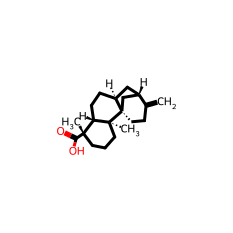 C=C1CC[C@@]23C[C@@H]1C[C@@H]2CC[C@@H]1[C@]3(C)CCC[C@]1(C)C(=O)O